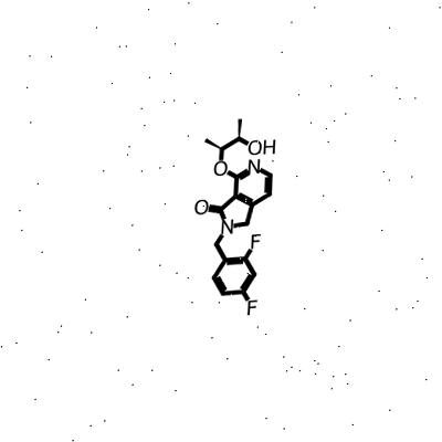 C[C@H](Oc1nccc2c1C(=O)N(Cc1ccc(F)cc1F)C2)[C@@H](C)O